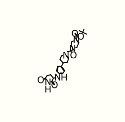 CC(C)(C)OC(=O)N1CCN(C(=O)CN2CCC(c3ccc(NC4CCC(=O)NC4=O)cc3)CC2)CC1